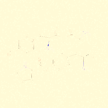 NCC(=O)OC(=O)[C@@H](N)Cc1ccc(O)cc1.N[C@@H](Cc1ccc(OC(=O)[C@@H]2CCCN2)cc1)C(=O)O